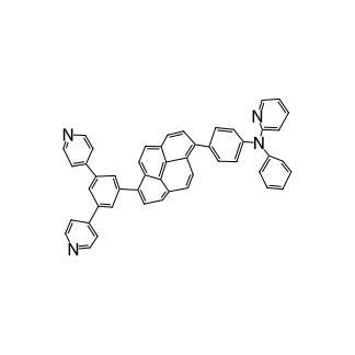 c1ccc(N(c2ccc(-c3ccc4ccc5c(-c6cc(-c7ccncc7)cc(-c7ccncc7)c6)ccc6ccc3c4c65)cc2)c2ccccn2)cc1